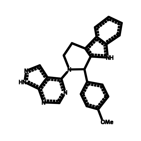 COc1ccc(C2c3[nH]c4ccccc4c3CCN2c2ncnc3[nH]ncc23)cc1